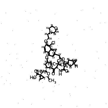 CC[C@@H]1C[C@]1(NC(=O)[C@@H]1CC(Oc2cc(CCOC)nc3c(Cl)c(OCCN4CCOCC4)ccc23)CN1C(=O)[C@@H](NC(=O)O[C@@H]1CC2C[C@@H]2C1)C(C)(C)C)C(=O)O